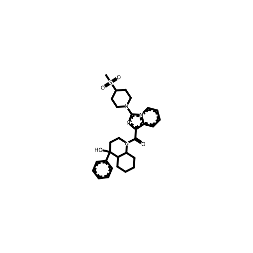 CS(=O)(=O)C1CCN(c2nc(C(=O)N3CCC(O)(c4ccccc4)C4CCCCC43)c3ccccn23)CC1